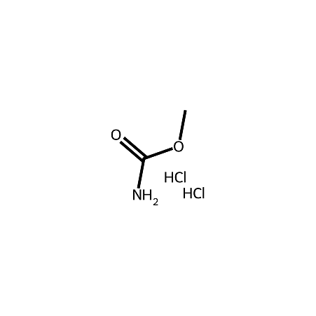 COC(N)=O.Cl.Cl